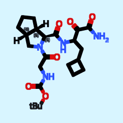 CC(C)(C)OC(=O)NCC(=O)N1C[C@@H]2CCC[C@@H]2[C@H]1C(=O)NC(CC1CCC1)C(=O)C(N)=O